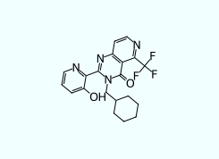 O=c1c2c(C(F)(F)F)nccc2nc(-c2ncccc2O)n1CC1CCCCC1